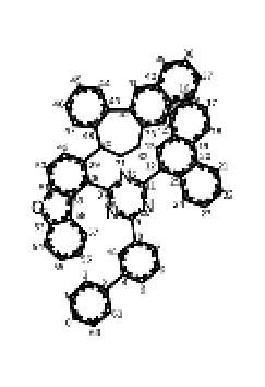 c1ccc(-c2cccc(-c3nc(-c4cc5ccccc5c5ccccc45)nc(-c4c(C5CCc6cc7ccccc7cc6-c6ccccc65)ccc5oc6ccccc6c45)n3)c2)cc1